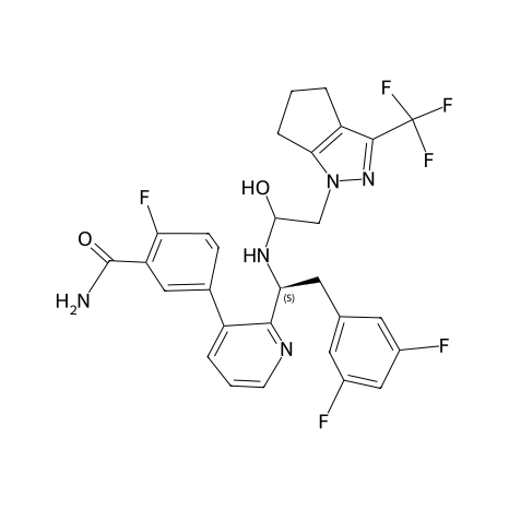 NC(=O)c1cc(-c2cccnc2[C@H](Cc2cc(F)cc(F)c2)NC(O)Cn2nc(C(F)(F)F)c3c2CCC3)ccc1F